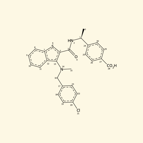 C[C@H](NC(=O)c1sc2ccccc2c1N(C)Cc1ccc(Cl)cc1)c1ccc(C(=O)O)cc1